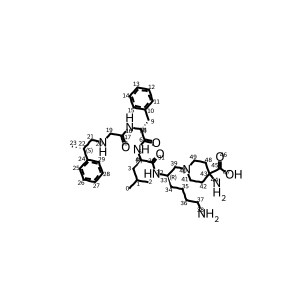 CC(C)C[C@@H](NC(=O)[C@@H](Cc1ccccc1)NC(=O)CNC[C@@H](C)c1ccccc1)C(=O)N[C@H](CCCCN)CN1CCC(N)(C(=O)O)CC1